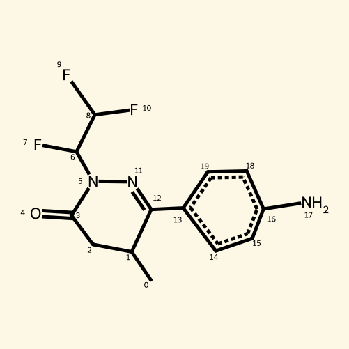 CC1CC(=O)N(C(F)C(F)F)N=C1c1ccc(N)cc1